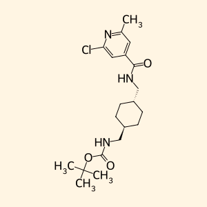 Cc1cc(C(=O)NC[C@H]2CC[C@H](CNC(=O)OC(C)(C)C)CC2)cc(Cl)n1